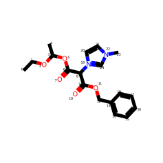 CCOC(C)OC(=O)C(C(=O)OCc1ccccc1)[n+]1ccn(C)c1